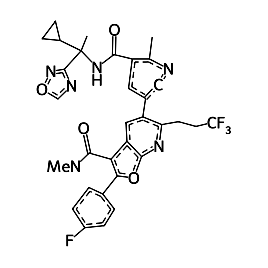 CNC(=O)c1c(-c2ccc(F)cc2)oc2nc(CCC(F)(F)F)c(-c3cnc(C)c(C(=O)NC(C)(c4ncon4)C4CC4)c3)cc12